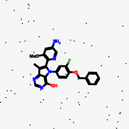 COc1cc(N)cnc1-c1c(C)c2ncnc(O)c2n1-c1ccc(OCc2ccccc2)c(F)c1